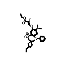 CCCC[C@]1(CC)CN(c2ccccc2)c2cc(N(C)C)c(O/C=C(\F)C(=O)OCC)cc2S(=O)(=O)C1